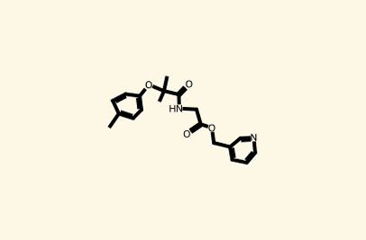 Cc1ccc(OC(C)(C)C(=O)NCC(=O)OCc2cccnc2)cc1